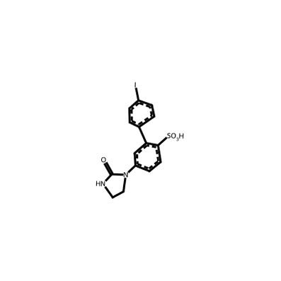 O=C1NCCN1c1ccc(S(=O)(=O)O)c(-c2ccc(I)cc2)c1